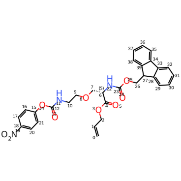 C=CCOC(=O)[C@H](COCCNC(=O)Oc1ccc([N+](=O)[O-])cc1)NC(=O)OCC1c2ccccc2-c2ccccc21